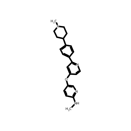 CNc1ccc(Oc2ccnc(-c3ccc(C4CCN(C)CC4)cc3)c2)cn1